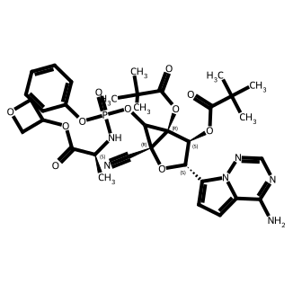 C[C@H](NP(=O)(Oc1ccccc1)OC1[C@@]2(C#N)O[C@@H](c3ccc4c(N)ncnn34)[C@H](OC(=O)C(C)(C)C)[C@@]12OC(=O)C(C)(C)C)C(=O)OC1COC1